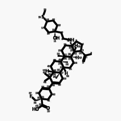 C=C(C)[C@@H]1CC[C@]2(NCC[C@]3(O)CC[C@H](SC)CC3)CC[C@]3(C)[C@H](CC[C@@H]4[C@@]5(C)CC=C(C6=CC[C@](CF)(C(=O)O)CC6)C(C)(C)[C@@H]5CC[C@]43C)[C@@H]12